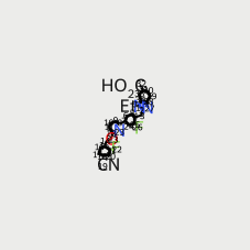 CCn1c(Cc2ccc(-c3cccc(OCc4ccc(C#N)cc4F)n3)cc2F)nc2ccc(C(=O)O)cc21